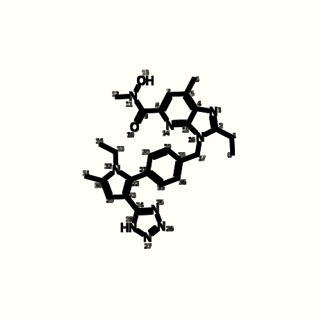 CCc1nc2c(C)cc(C(=O)N(C)O)nc2n1Cc1ccc(-c2c(-c3nnn[nH]3)cc(C)n2CC)cc1